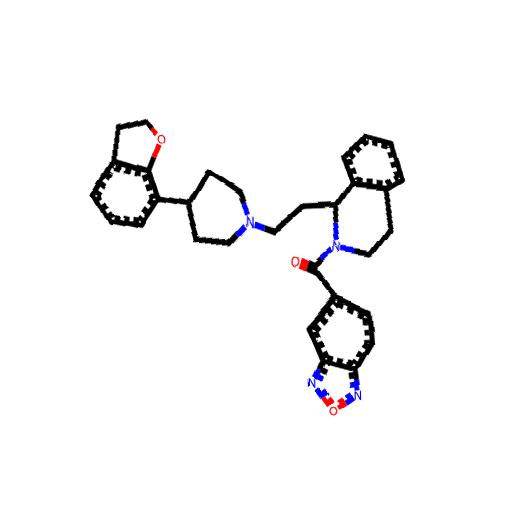 O=C(c1ccc2nonc2c1)N1CCc2ccccc2C1CCN1CCC(c2cccc3c2OCC3)CC1